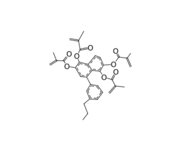 C=C(C)C(=O)Oc1cc(-c2cccc(CCC)c2)c2c(OC(=O)C(=C)C)c(OC(=O)C(=C)C)ccc2c1OC(=O)C(=C)C